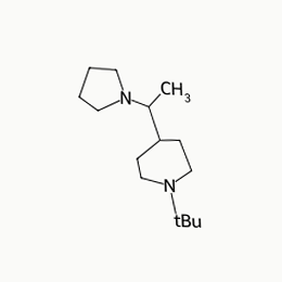 CC(C1CCN(C(C)(C)C)CC1)N1CCCC1